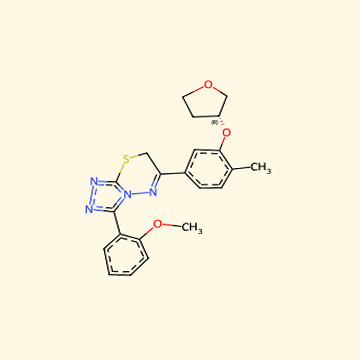 COc1ccccc1-c1nnc2n1N=C(c1ccc(C)c(O[C@@H]3CCOC3)c1)CS2